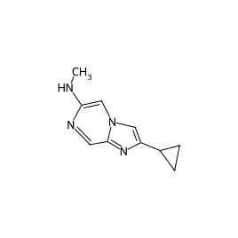 CNc1cn2cc(C3CC3)nc2cn1